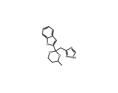 CC1CCOC(Cc2nc[nH]n2)(c2cc3ccccc3o2)O1